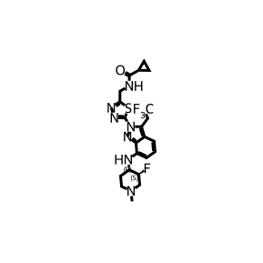 CN1CC[C@@H](Nc2cccc3c(CC(F)(F)F)n(-c4nnc(CNC(=O)C5CC5)s4)nc23)[C@@H](F)C1